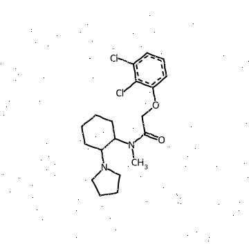 CN(C(=O)COc1cccc(Cl)c1Cl)C1CCCCC1N1CCCC1